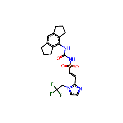 O=C(Nc1c2c(cc3c1CCC3)CCC2)NS(=O)(=O)/C=C/c1nccn1CC(F)(F)F